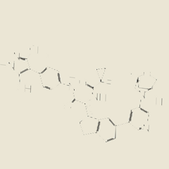 Cc1n[nH]c(C)c1-c1ccc(NC(=O)[C@@H](NC(=O)C2(F)CC2)[C@@H]2CCc3ccc(-c4cncc(N5C[C@@H]6C[C@H]5CO6)c4)cc32)cc1